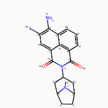 CN1C2CCC1CC(N1C(=O)c3cccc4c(N)c(I)cc(c34)C1=O)C2